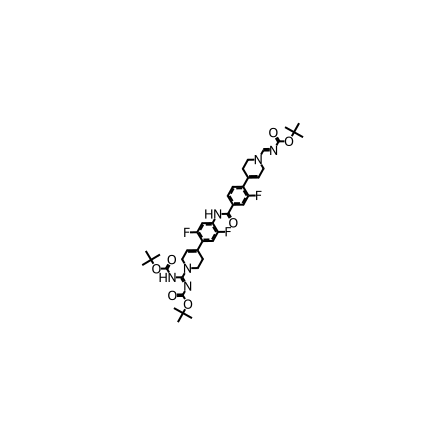 CC(C)(C)OC(=O)N=CN1CC=C(c2ccc(C(=O)Nc3cc(F)c(C4=CCN(C(=NC(=O)OC(C)(C)C)NC(=O)OC(C)(C)C)CC4)cc3F)cc2F)CC1